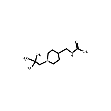 CC(=O)NCC1CCN(CC(C)(C)C)CC1